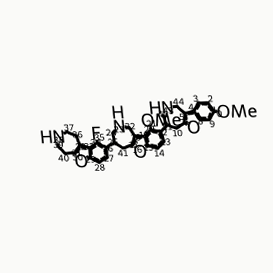 COc1ccc2c3c(oc2c1)CC(c1ccc2oc4c(c2c1OC)CNCC(c1ccc2oc5c(c2c1F)CCNCC5)C4)CNC3